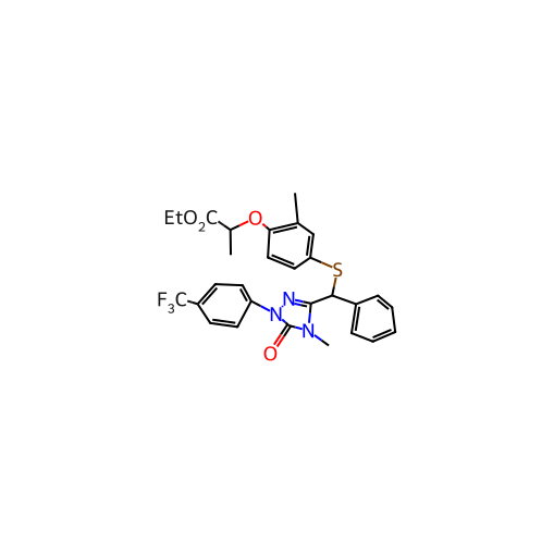 CCOC(=O)C(C)Oc1ccc(SC(c2ccccc2)c2nn(-c3ccc(C(F)(F)F)cc3)c(=O)n2C)cc1C